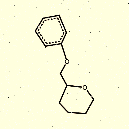 [c]1ccccc1OCC1CCCCO1